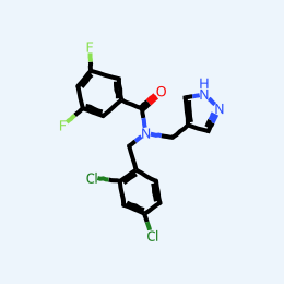 O=C(c1cc(F)cc(F)c1)N(Cc1cn[nH]c1)Cc1ccc(Cl)cc1Cl